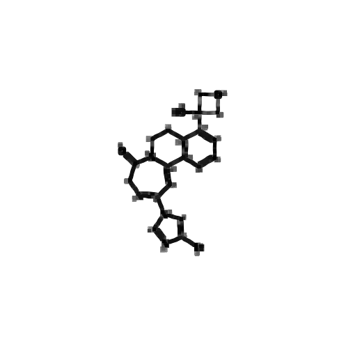 CCc1cn(C2=NCC(=O)N3CCc4c(cccc4C4(O)COC4)C3=C2)cn1